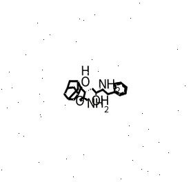 NC(=O)[C@@H](C[C@H](O)[C@@H](N)Cc1ccccc1)C1(O)C2CC3CC(C2)CC1C3